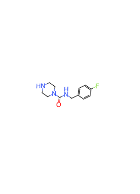 O=C(NCc1ccc(F)cc1)N1CCNCC1